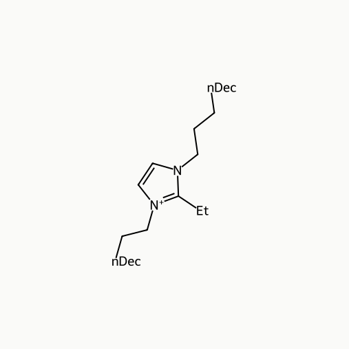 CCCCCCCCCCCCCn1cc[n+](CCCCCCCCCCCC)c1CC